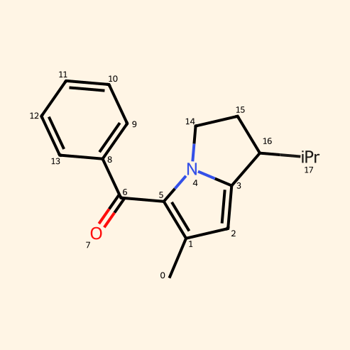 Cc1cc2n(c1C(=O)c1ccccc1)CCC2C(C)C